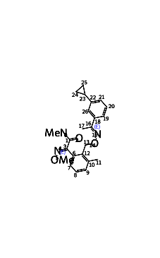 CNC(=O)/C(=N/OC)c1cccc(C)c1CO/N=C(\C)c1cccc(C2CC2)c1